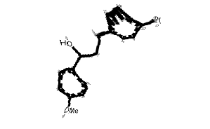 COc1ccc(C(O)CCc2ccc(C(C)C)cc2)cc1